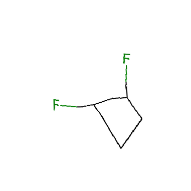 FC1CCC1F